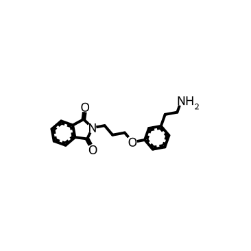 NCCc1cccc(OCCCN2C(=O)c3ccccc3C2=O)c1